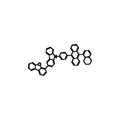 c1cc2c(c(-c3c4ccccc4c(-c4ccc(-n5c6ccccc6c6cc(-c7cccc8c7oc7ccccc78)ccc65)cc4)c4ccccc34)c1)CCCC2